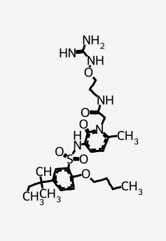 CCCCOc1ccc(C(C)(C)CC)cc1S(=O)(=O)Nc1ccc(C)n(CC(=O)NCCONC(=N)N)c1=O